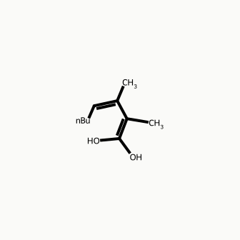 CCCCC=C(C)C(C)=C(O)O